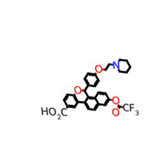 O=C(O)c1ccc2c(c1)-c1ccc3cc(OC(=O)C(F)(F)F)ccc3c1C(c1ccc(OCCN3CCCCC3)cc1)O2